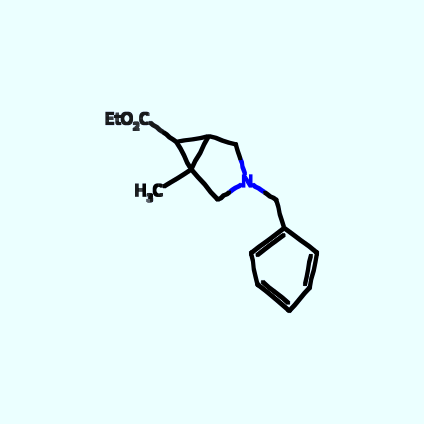 CCOC(=O)C1C2CN(Cc3ccccc3)CC21C